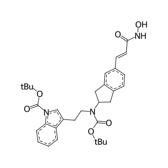 CC(C)(C)OC(=O)N(CCc1cn(C(=O)OC(C)(C)C)c2ccccc12)C1Cc2ccc(/C=C/C(=O)NO)cc2C1